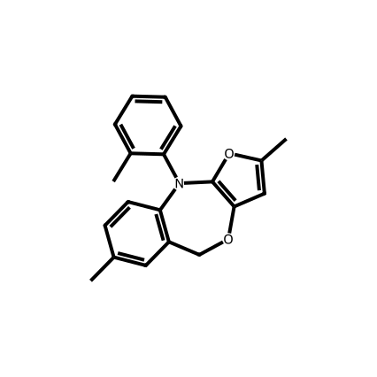 Cc1ccc2c(c1)COc1cc(C)oc1N2c1ccccc1C